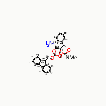 CNC(=O)OC(Cc1ccccc1)C(CN)OC(=O)OCC1c2ccccc2-c2ccccc21